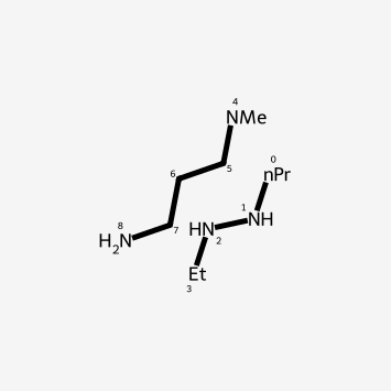 CCCNNCC.CNCCCN